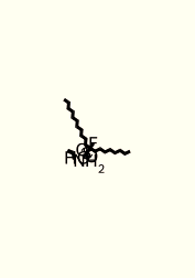 C=CCN.CCCCCCCCCCCC(F)(CCCCCCCC)S(=O)(=O)O